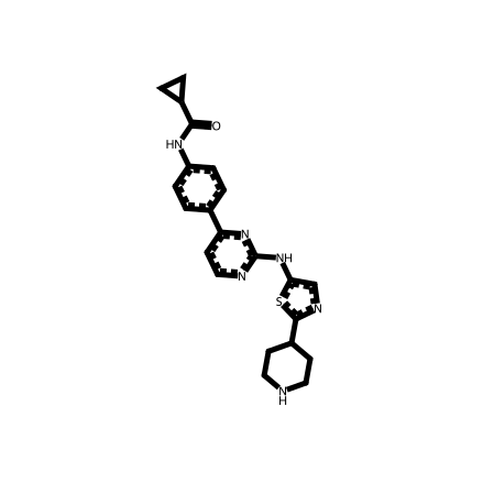 O=C(Nc1ccc(-c2ccnc(Nc3cnc(C4CCNCC4)s3)n2)cc1)C1CC1